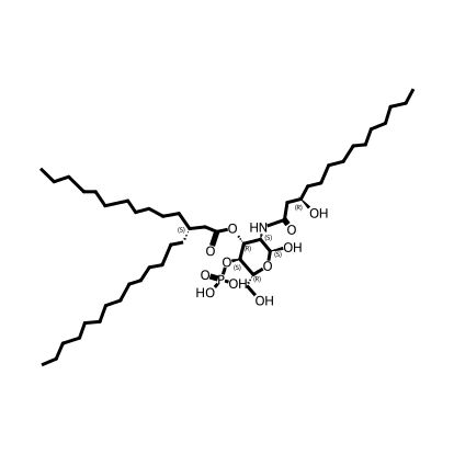 CCCCCCCCCCCCCC[C@H](CCCCCCCCCCC)CC(=O)O[C@@H]1[C@H](NC(=O)C[C@H](O)CCCCCCCCCCC)[C@@H](O)O[C@H](CO)[C@H]1OP(=O)(O)O